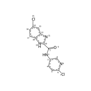 O=C(Nc1ccc(Cl)nc1)c1nc2cc(Cl)ccc2[nH]1